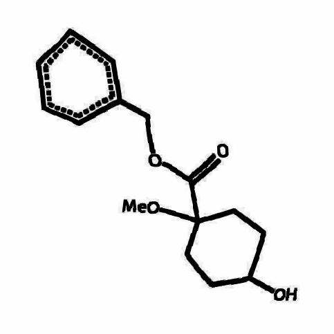 COC1(C(=O)OCc2ccccc2)CCC(O)CC1